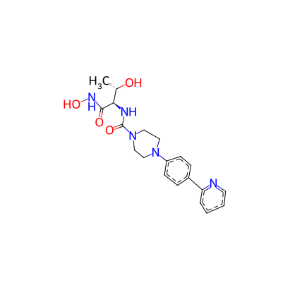 C[C@H](O)[C@@H](NC(=O)N1CCN(c2ccc(-c3ccccn3)cc2)CC1)C(=O)NO